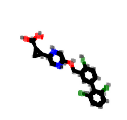 O=C(O)[C@@H]1CC1c1cnc(OCc2cc(-c3c(Cl)cccc3Cl)ccc2F)cn1